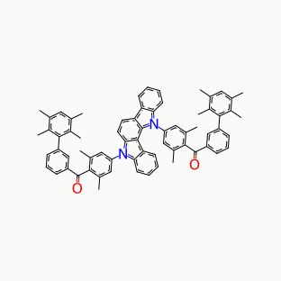 Cc1cc(C)c(C)c(-c2cccc(C(=O)c3c(C)cc(-n4c5ccccc5c5c4ccc4c6ccccc6n(-c6cc(C)c(C(=O)c7cccc(-c8c(C)c(C)cc(C)c8C)c7)c(C)c6)c45)cc3C)c2)c1C